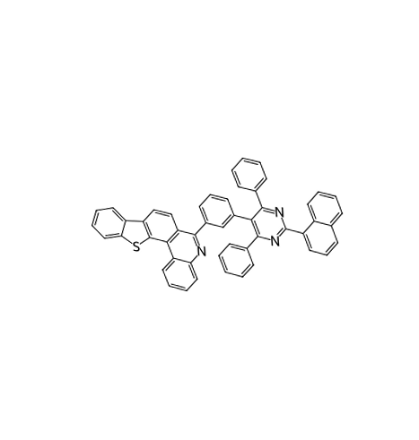 c1ccc(-c2nc(-c3cccc4ccccc34)nc(-c3ccccc3)c2-c2cccc(-c3nc4ccccc4c4c3ccc3c5ccccc5sc34)c2)cc1